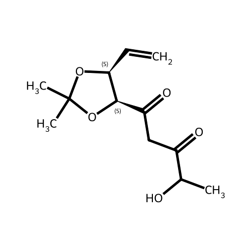 C=C[C@@H]1OC(C)(C)O[C@@H]1C(=O)CC(=O)C(C)O